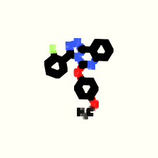 COc1ccc(Oc2nc3ccccc3c3nnc(-c4ccccc4F)n23)cc1